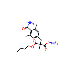 CCCCOC(=O)C(C)(Cc1cc(C)c(C(N)=O)c(C)c1)C(=O)ON